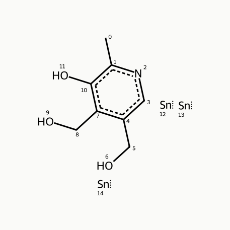 Cc1ncc(CO)c(CO)c1O.[Sn].[Sn].[Sn]